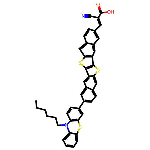 CCCCCCN1c2ccccc2Sc2cc(-c3ccc4cc5sc6c7cc8cc(/C=C(\C#N)C(=O)O)ccc8cc7sc6c5cc4c3)ccc21